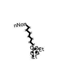 CCCCCCCCCCCCCCCCOP(=O)(OCC)OCC